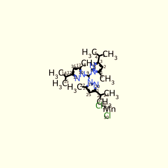 Cc1cc(C(C)C)nn1C(n1nc(C(C)C)cc1C)n1nc(C(C)C)cc1C.[Cl][Mn][Cl]